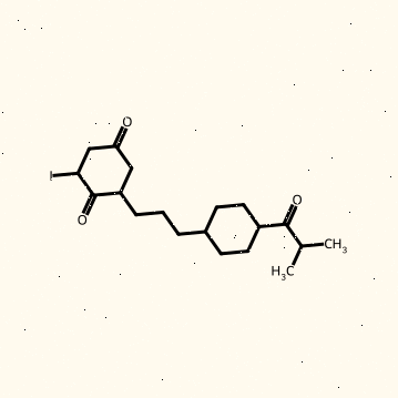 CC(C)C(=O)C1CCC(CCCC2CC(=O)CC(I)C2=O)CC1